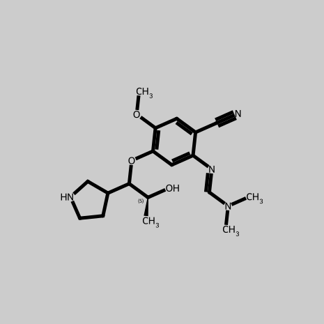 COc1cc(C#N)c(N=CN(C)C)cc1OC(C1CCNC1)[C@H](C)O